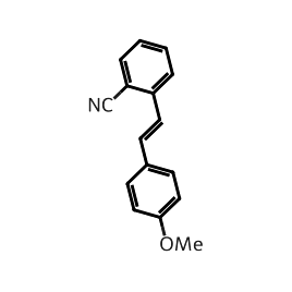 COc1ccc(/C=C/c2ccccc2C#N)cc1